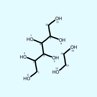 OCC(O)C(O)C(O)C(O)CO.OCCO